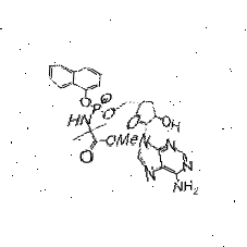 COC(=O)C(C)(C)NP(=O)(OC[C@@H]1C[C@@H](O)[C@H](n2cnc3c(N)ncnc32)O1)Oc1cccc2ccccc12